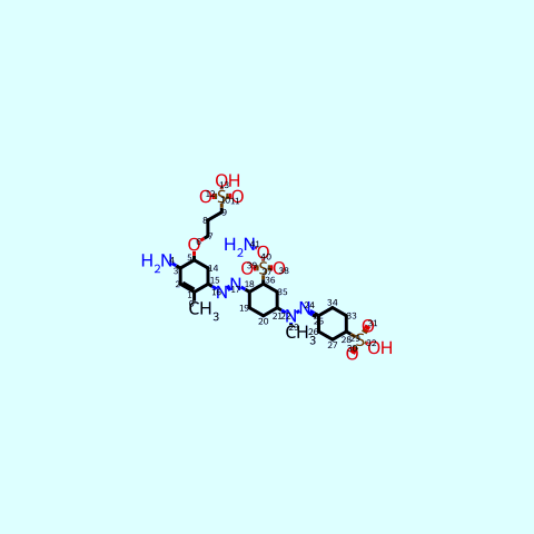 CC1=CC(N)C(OCCCS(=O)(=O)O)CC1N=NC1CCC(N(C)N=C2CCC(S(=O)(=O)O)CC2)CC1S(=O)(=O)ON